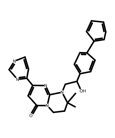 CC1(C)CCn2c(nc(-c3ccncn3)cc2=O)N1CC(O)c1ccc(-c2ccccc2)cc1